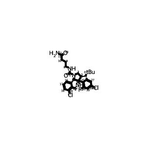 CC(C)(C)C[C@@H]1CN(C(=O)NCCCC(N)=O)[C@H](c2cccc(Cl)c2F)[C@@]1(N)c1ccc(Cl)cc1F